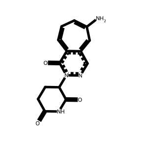 NC1=CC=C=c2c(cnn(C3CCC(=O)NC3=O)c2=O)=C1